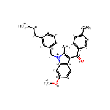 COc1ccc(C(=O)c2c(C)n(Cc3cccc(CCC(=O)O)c3)c3cc(OC(F)(F)F)ccc23)cc1